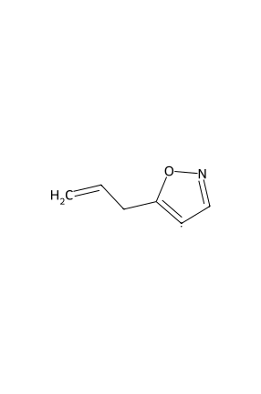 C=CCc1[c]cno1